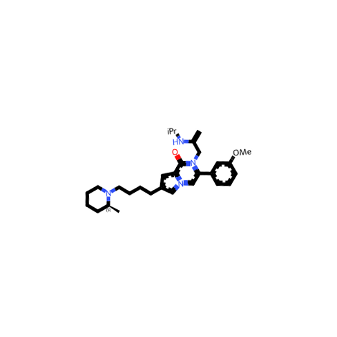 C=C(Cn1c(-c2cccc(OC)c2)cn2cc(CCCCN3CCCC[C@@H]3C)cc2c1=O)NC(C)C